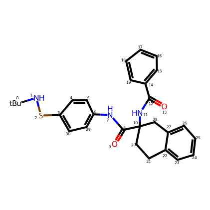 CC(C)(C)NSc1ccc(NC(=O)C2(NC(=O)c3ccccc3)CCc3ccccc3C2)cc1